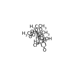 CC1(C)O[C@@H]2C[C@H]3[C@@H]4C[C@H](Cl)C5=CC(=O)C=C[C@]5(C)[C@H]4[C@@H](O)C[C@]3(C)[C@]2(C(=O)COS(C)(=O)=O)O1